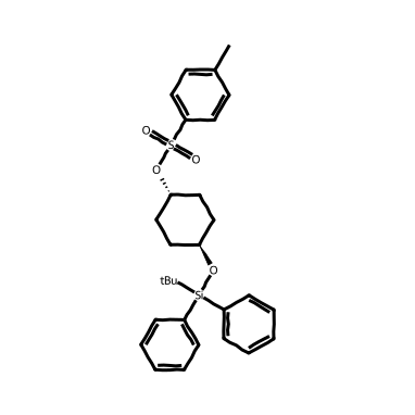 Cc1ccc(S(=O)(=O)O[C@H]2CC[C@H](O[Si](c3ccccc3)(c3ccccc3)C(C)(C)C)CC2)cc1